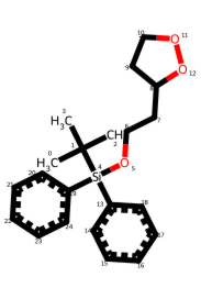 CC(C)(C)[Si](OCCC1C[CH]OO1)(c1ccccc1)c1ccccc1